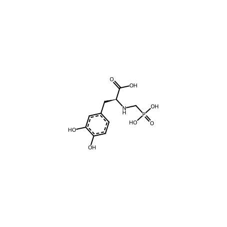 O=C(O)[C@H](Cc1ccc(O)c(O)c1)NCP(=O)(O)O